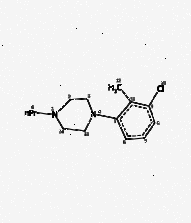 CCCN1CCN(c2cccc(Cl)c2C)CC1